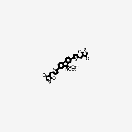 CCCCCCCCC1(CCCCCCCC)c2cc(-c3ccc(/C=C4/C(=O)CN(C)C4=O)s3)ccc2-c2ccc(-c3ccc(/C=C4/C(=O)CN(C)C4=O)s3)cc21